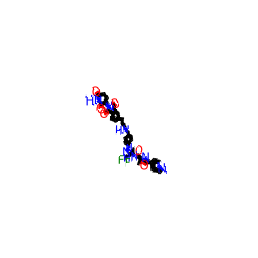 O=C1CCC(N2C(=O)c3ccc(CCCNCc4ccc(-n5cc(NC(=O)c6coc(-c7ccncc7)n6)c(C(F)F)n5)cc4)cc3C2=O)C(=O)N1